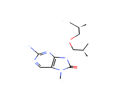 CCCCn1c(=O)n([C@@H]2O[C@H]([C@H](CC)OC(C)=O)C[C@H]2OC(C)=O)c2nc(N)ncc21